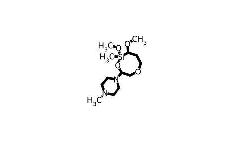 COC1CCOCC(N2CCN(C)CC2)O[Si]1(C)OC